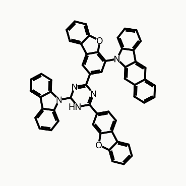 c1ccc2cc3c(cc2c1)c1ccccc1n3-c1cc(C2=NC(n3c4ccccc4c4ccccc43)NC(c3ccc4c(c3)oc3ccccc34)=N2)cc2c1oc1ccccc12